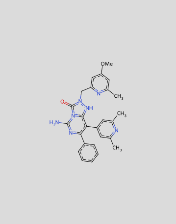 COc1cc(C)nc(Cn2[nH]c3c(-c4cc(C)nc(C)c4)c(-c4ccccc4)nc(N)[n+]3c2=O)c1